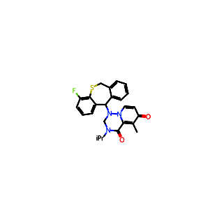 Cc1c2n(ccc1=O)N(C1c3ccccc3CSc3c(F)cccc31)CN(C(C)C)C2=O